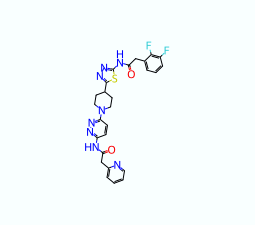 O=C(Cc1ccccn1)Nc1ccc(N2CCC(c3nnc(NC(=O)Cc4cccc(F)c4F)s3)CC2)nn1